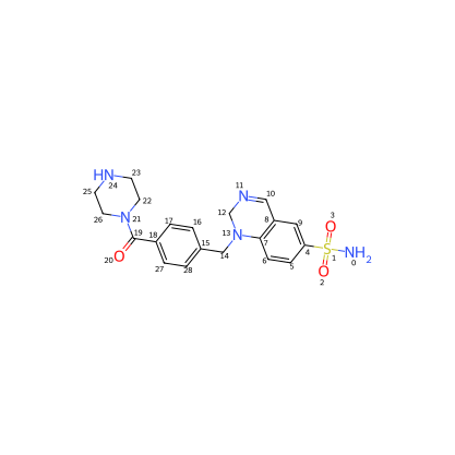 NS(=O)(=O)c1ccc2c(c1)C=NCN2Cc1ccc(C(=O)N2CCNCC2)cc1